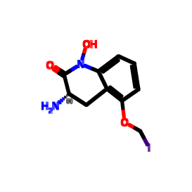 N[C@H]1Cc2c(OCI)cccc2N(O)C1=O